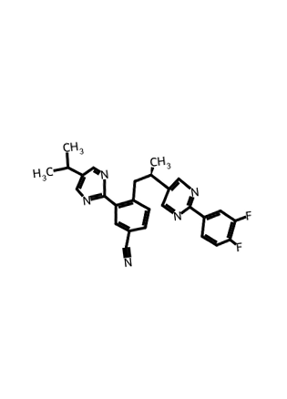 CC(C)c1cnc(-c2cc(C#N)ccc2C[C@@H](C)c2cnc(-c3ccc(F)c(F)c3)nc2)nc1